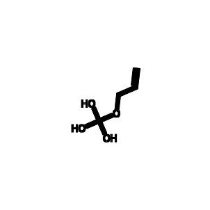 C=CCOC(O)(O)O